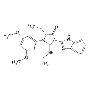 CCNC1=C(c2nc3ccccc3[nH]2)C(=O)C(CC)N1c1cc(OC)cc(OC)c1